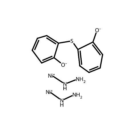 N[NH][Ni+].N[NH][Ni+].[O-]c1ccccc1Sc1ccccc1[O-]